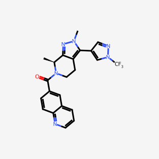 C[C@H]1c2nn(C)c(-c3cnn(C(F)(F)F)c3)c2CCN1C(=O)c1ccc2ncccc2c1